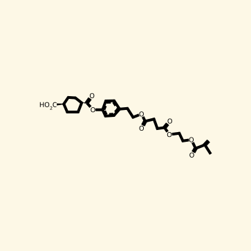 C=C(C)C(=O)OCCOC(=O)CCC(=O)OCCc1ccc(OC(=O)[C@H]2CC[C@H](C(=O)O)CC2)cc1